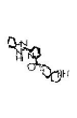 O=C(c1cccc(-c2nc3ccccc3[nH]2)n1)N1CCC2(CCCNC2)CC1